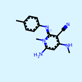 CNc1cc(N)n(C)/c(=N\c2ccc(C)cc2)c1C#N